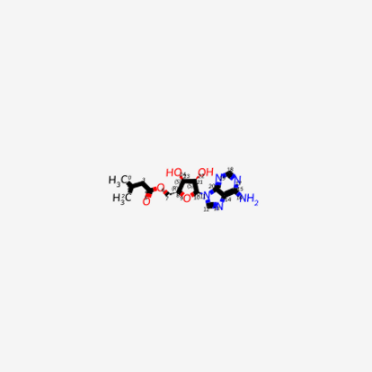 CC(C)CC(=O)OC[C@H]1O[C@@H](n2cnc3c(N)ncnc32)[C@@H](O)[C@@H]1O